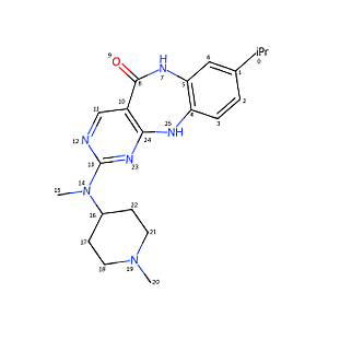 CC(C)c1ccc2c(c1)NC(=O)c1cnc(N(C)C3CCN(C)CC3)nc1N2